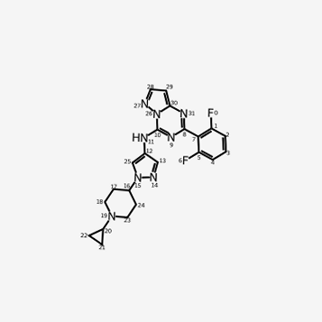 Fc1cccc(F)c1-c1nc(Nc2cnn(C3CCN(C4CC4)CC3)c2)n2nccc2n1